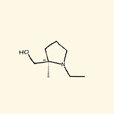 CCN1CCC[C@]1(C)CO